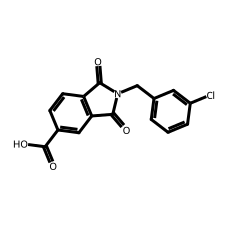 O=C(O)c1ccc2c(c1)C(=O)N(Cc1cccc(Cl)c1)C2=O